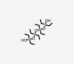 CC[Si](O)(CC)O[Si](CC)(CC)O[Si](CC)(CC)O[Si](O)(CC)CC